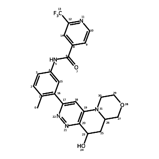 Cc1ccc(NC(=O)c2ccnc(C(F)(F)F)c2)cc1-c1cc2c(nn1)C(O)CC1COCCN21